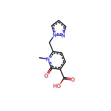 Cn1c(Cn2cccn2)ccc(C(=O)O)c1=O